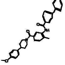 COc1ccc(C2CCN(C(=O)c3ccc(C)c(NC(=O)c4ccc(-c5ccccc5)cc4)c3)CC2)cc1